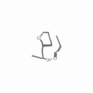 CC(O)C1CCCO1.CCC=O